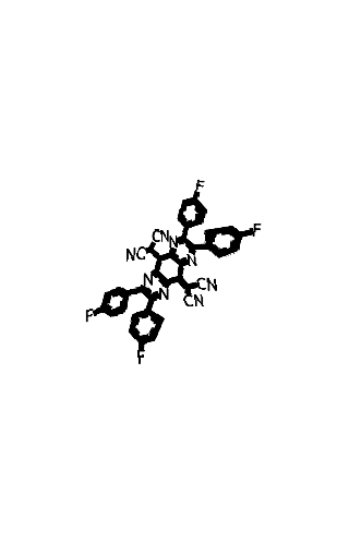 N#CC(C#N)=C1c2nc(-c3ccc(F)cc3)c(-c3ccc(F)cc3)nc2C(C(C#N)C#N)c2nc(-c3ccc(F)cc3)c(-c3ccc(F)cc3)nc21